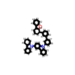 C1=Cc2c(c3ccccc3n2-c2ccc3c(c2)c2ccccc2n3-c2cccc(-c3cccc(C4CC=Cc5c4oc4ccccc54)c3)c2)CC1